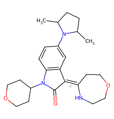 CC1CCC(C)N1c1ccc2c(c1)/C(=C1\CCOCCN1)C(=O)N2C1CCOCC1